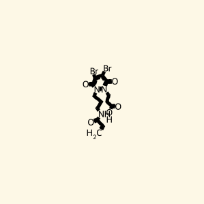 C=CC(=O)NCCCn1c(=O)c(Br)c(Br)c(=O)n1CCC(=O)O